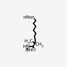 CCCCCCCCCCCCCCCCC(C)(C)C(=O)NO